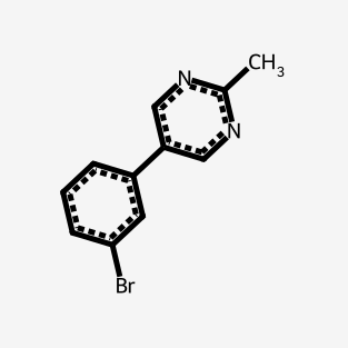 Cc1ncc(-c2cccc(Br)c2)cn1